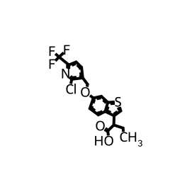 CCC(C(=O)O)c1csc2cc(OCc3ccc(C(F)(F)F)nc3Cl)ccc12